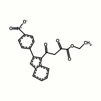 CCOC(=O)C(=O)CC(=O)c1c(-c2ccc([N+](=O)[O-])cc2)cc2ccccn12